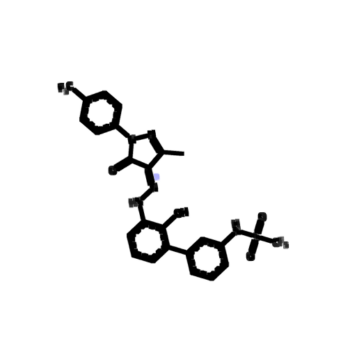 CC1=NN(c2ccc(C(F)(F)F)cc2)C(=O)/C1=N\Nc1cccc(-c2cccc(NS(=O)(=O)C(F)(F)F)c2)c1O